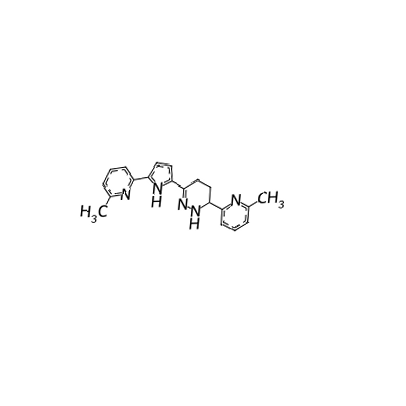 Cc1cccc(-c2ccc(C3=NNC(c4cccc(C)n4)CC3)[nH]2)n1